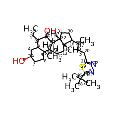 CC[C@@H]1C2C[C@H](O)CCC2(C)[C@H]2CCC3(C)C([C@H](C)CCc4nnc(C(C)(C)C)s4)CC[C@H]3[C@@H]2[C@@H]1O